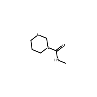 CNC(=O)N1CCC[N]C1